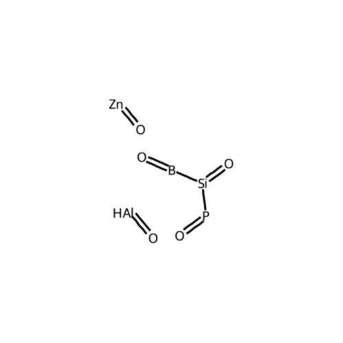 O=B[Si](=O)P=O.[O]=[AlH].[O]=[Zn]